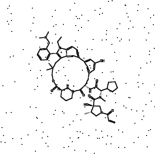 C=CC(=O)N1C[C@H](C)[C@](O)(C(=O)N(C)[C@H](C(=O)N[C@H]2Cc3cc(O)cc(c3)-c3ccc4c(c3)c(c(-c3ccccc3CN(C)C)n4CC)CC(C)(C)COC(=O)[C@@H]3CCCN(N3)C2=O)C2CCCC2)C1